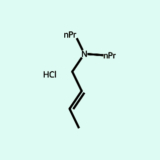 C/C=C/CN(CCC)CCC.Cl